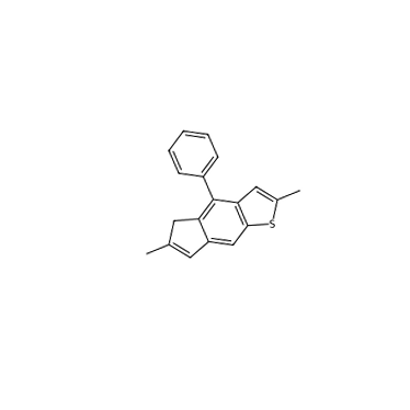 CC1=Cc2cc3sc(C)cc3c(-c3ccccc3)c2C1